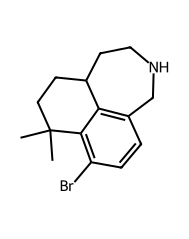 CC1(C)CCC2CCNCc3ccc(Br)c1c32